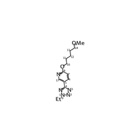 CCn1nnc(-c2ccc(OCCCCCOC)nc2)n1